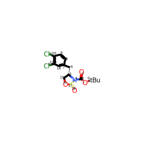 CC(C)(C)OC(=O)N1[C@@H](Cc2ccc(Cl)c(Cl)c2)COS1=O